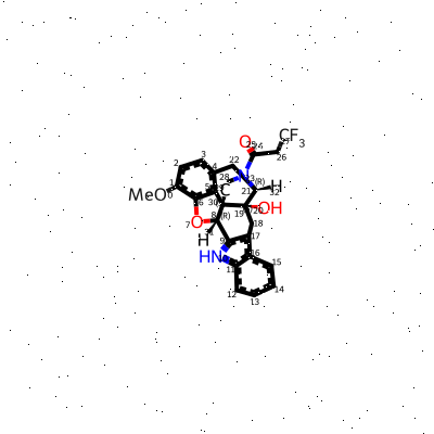 COc1ccc2c3c1O[C@H]1c4[nH]c5ccccc5c4C[C@@]4(O)[C@@H](C2)N(C(=O)CC(F)(F)F)CC[C@]314